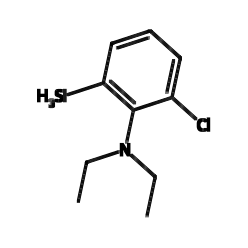 CCN(CC)c1c([SiH3])cccc1Cl